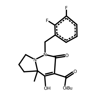 CC(C)COC(=O)C1=C(O)C2(C)CCCN2N(Cc2cccc(F)c2F)C1=O